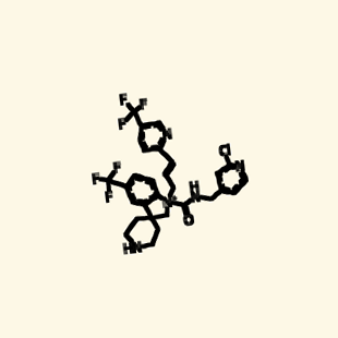 O=C(NCc1ccnc(Cl)c1)[N+]1(C/C=C/c2ccc(C(F)(F)F)cn2)CC2(CCNCC2)c2cc(C(F)(F)F)ccc21